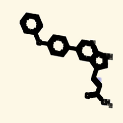 CC(=O)/C=C/c1c[nH]c2ncc(-c3ccc(Oc4ccccc4)cc3)cc12